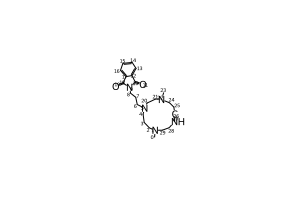 CN1CCCN(CCCN2C(=O)c3ccccc3C2=O)CCN(C)CCCNCC1